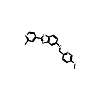 COc1ccc(COc2ccc3oc(-c4ccnc(C)c4)nc3c2)nc1